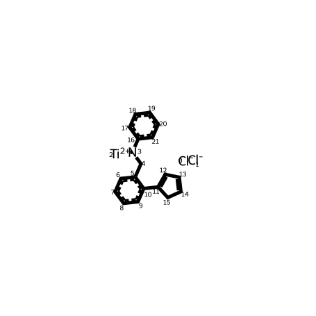 [Cl-].[Cl-].[Ti+2][N](Cc1ccccc1C1=CC=CC1)c1ccccc1